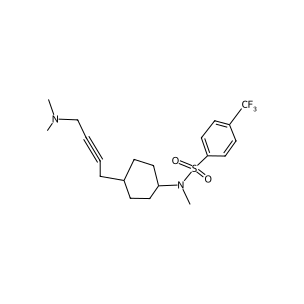 CN(C)CC#CCC1CCC(N(C)S(=O)(=O)c2ccc(C(F)(F)F)cc2)CC1